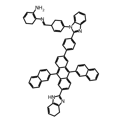 NC1=C(/N=C/C2C=CC(n3c(-c4ccc(-c5ccc6c(-c7ccc8ccccc8c7)c7cc(-c8nc9c([nH]8)C=CCC9)ccc7c(-c7ccc8ccccc8c7)c6c5)cc4)nc4ccccc43)=CC2)CCC=C1